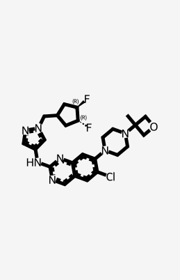 CC1(N2CCN(c3cc4nc(Nc5cnn(CC6C[C@@H](F)[C@H](F)C6)c5)ncc4cc3Cl)CC2)COC1